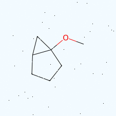 COC12CCCC1C2